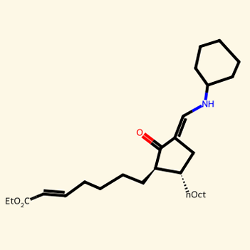 CCCCCCCC[C@H]1CC(=CNC2CCCCC2)C(=O)[C@@H]1CCCCC=CC(=O)OCC